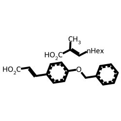 CCCCCCC=C(C)C(=O)O.O=C(O)C=Cc1ccc(OCc2ccccc2)cc1